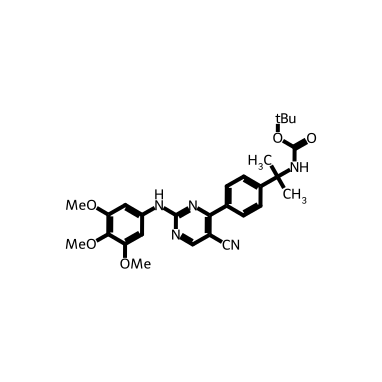 COc1cc(Nc2ncc(C#N)c(-c3ccc(C(C)(C)NC(=O)OC(C)(C)C)cc3)n2)cc(OC)c1OC